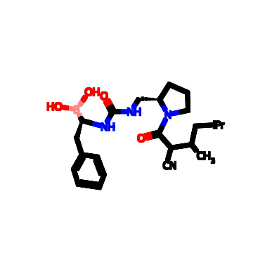 CC(C)CC(C)C(C#N)C(=O)N1CCC[C@H]1CNC(=O)N[C@@H](Cc1ccccc1)B(O)O